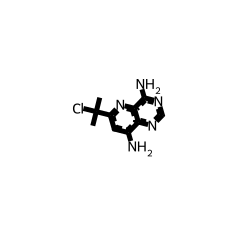 CC(C)(Cl)c1cc(N)c2ncnc(N)c2n1